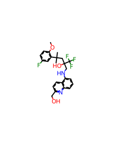 COc1ccc(F)cc1C(C)(C)CC(O)(CNc1cccc2nc(CO)ccc12)C(F)(F)F